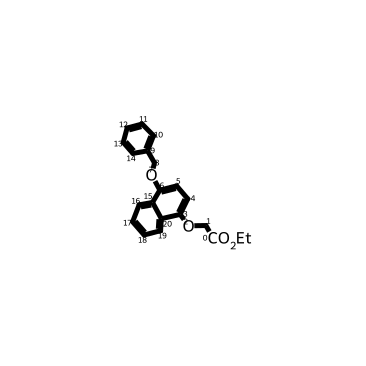 CCOC(=O)COc1ccc(OCc2ccccc2)c2ccccc12